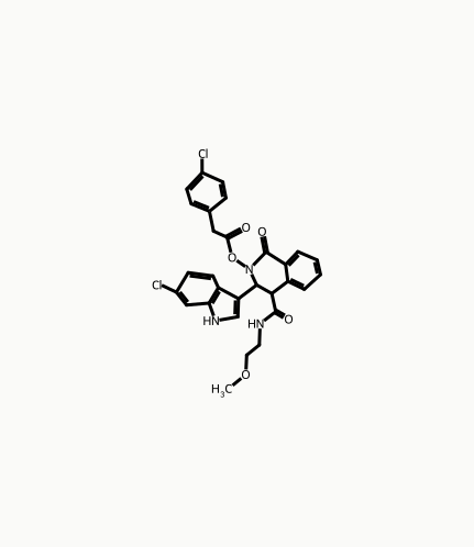 COCCNC(=O)C1c2ccccc2C(=O)N(OC(=O)Cc2ccc(Cl)cc2)C1c1c[nH]c2cc(Cl)ccc12